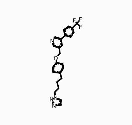 FC(F)(F)c1ccc(-c2cncc(COc3ccc(CCCCn4ccnn4)cc3)c2)cc1